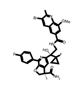 COc1cc(C(=O)NC[C@](O)(c2cc3c(c(-c4ccc(F)cc4)n2)OC[C@]3(C)C(N)=O)C2(F)CC2)cc2cc(Br)c(C)nc12